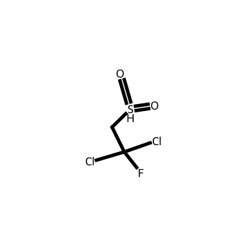 O=[SH](=O)CC(F)(Cl)Cl